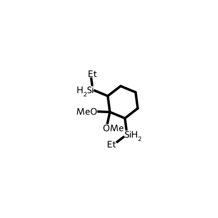 CC[SiH2]C1CCCC([SiH2]CC)C1(OC)OC